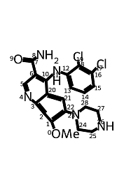 COc1cc2ncc(C(N)=O)c(Nc3cccc(Cl)c3Cl)c2cc1N1CCNCC1